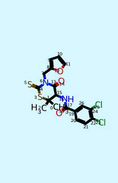 CC1(C)SC(=S)N(Cc2ccco2)C(=O)C1NC(=O)c1ccc(Cl)c(Cl)c1